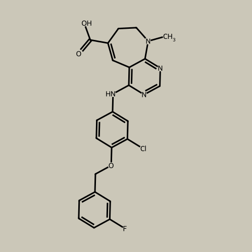 CN1CCC(C(=O)O)=Cc2c(Nc3ccc(OCc4cccc(F)c4)c(Cl)c3)ncnc21